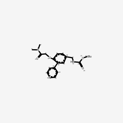 CN(C)C(=O)COc1ccc(CNC(=O)OC(C)(C)C)cc1-c1ccncc1